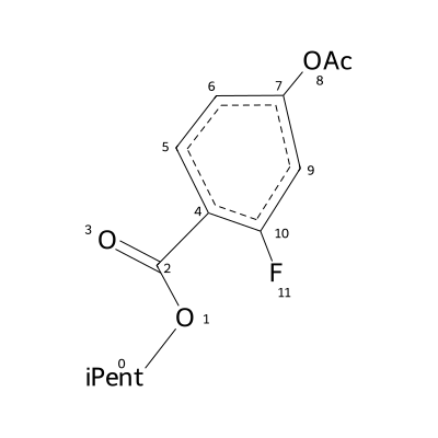 CCCC(C)OC(=O)c1ccc(OC(C)=O)cc1F